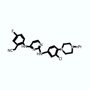 CCCN1CCN(c2ccc(Nc3nccc(Nc4ccc(F)cc4CC#N)n3)cc2Cl)CC1